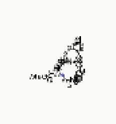 COC(=O)CCOC1/C=C/C[C@H](C)NS(=O)(=O)NC(=O)c2ccc3c(c2)N(CCCCc2cc(Cl)ccc2CO3)C[C@@H]2CC[C@@H]12